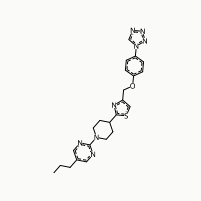 CCCc1cnc(N2CCC(c3nc(COc4ccc(-n5cnnn5)cc4)cs3)CC2)nc1